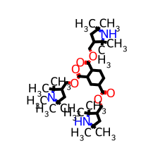 CN1C(C)(C)CC(COC(=O)C2CC(C(=O)OCC3CC(C)(C)NC3(C)C)CCC2C(=O)OCC2CC(C)(C)NC2(C)C)C1(C)C